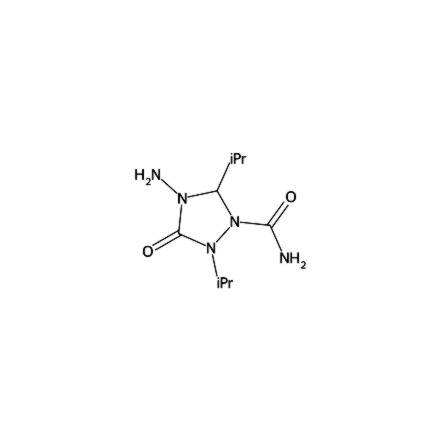 CC(C)C1N(N)C(=O)N(C(C)C)N1C(N)=O